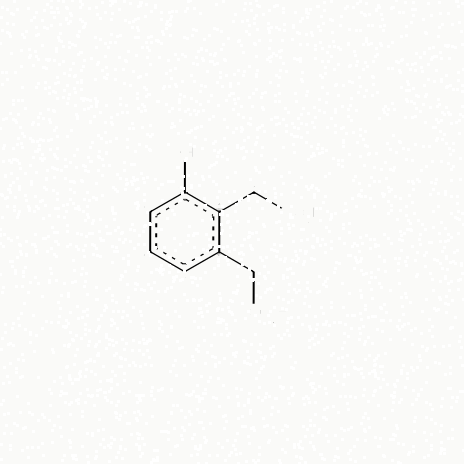 O=C(O)Cc1cccc(O)c1CC(=O)O